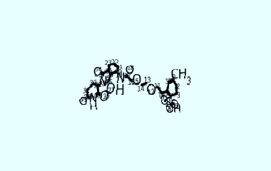 Cc1ccc(S(=O)(=O)O)c(CCOCCOCC(=O)Nc2cccc3c2C(=O)N(C2CCC(=O)NC2=O)C3=O)c1